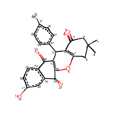 CC1(C)CC(=O)C2=C(C1)OC1=C(C(=O)c3ccc(O)cc3C1=O)C2c1ccc(C#N)cc1